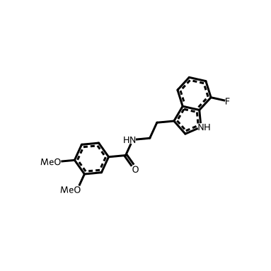 COc1ccc(C(=O)NCCc2c[nH]c3c(F)cccc23)cc1OC